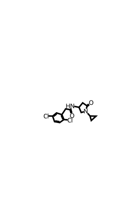 O=C(Cc1cc(Cl)ccc1Cl)NC1CC(=O)N(C2CC2)C1